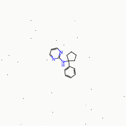 c1ccc(C2(Nc3ncccn3)CCCC2)cc1